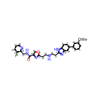 COc1cccc(-c2ccc3[nH]c(CCNCCc4nc(C(=O)NCc5ncccc5F)co4)nc3c2)c1